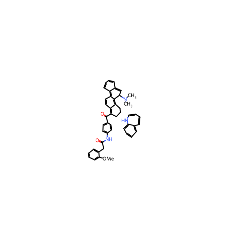 C1=CNc2ccccc2C=C1.COc1ccccc1CC(=O)Nc1ccc(C(=O)C2=c3ccc4c(c3CCC2)C(N(C)C)C=c2ccccc2=4)cc1